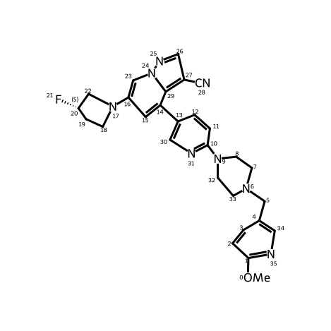 COc1ccc(CN2CCN(c3ccc(-c4cc(N5CC[C@H](F)C5)cn5ncc(C#N)c45)cn3)CC2)cn1